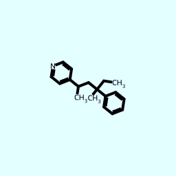 CCC(C)(CC(C)c1ccncc1)c1ccccc1